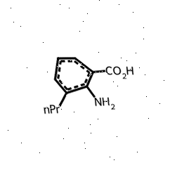 CCCc1cccc(C(=O)O)c1N